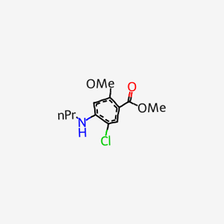 CCCNc1cc(OC)c(C(=O)OC)cc1Cl